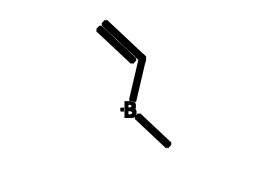 C=C[B]C